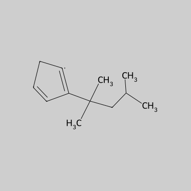 CC(C)CC(C)(C)C1=[C]CC=C1